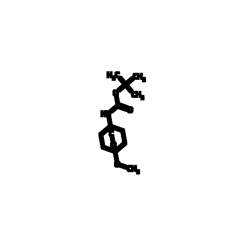 COC12CCC(NC(=O)OC(C)(C)C)(CC1)CO2